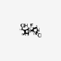 Cc1cn(-c2nc(Cl)ncc2F)cc1CO